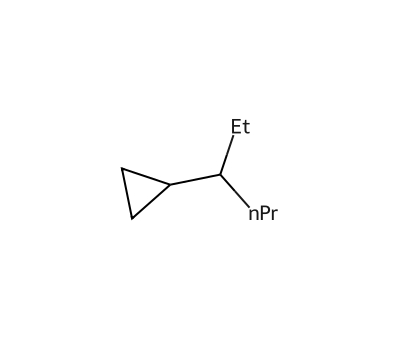 [CH2]CCC(CC)C1CC1